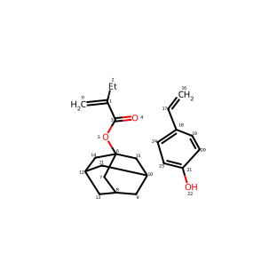 C=C(CC)C(=O)OC12CC3CC(CC(C3)C1)C2.C=Cc1ccc(O)cc1